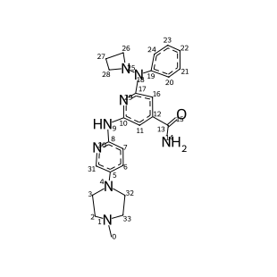 CN1CCN(c2ccc(Nc3cc(C(N)=O)cc(N(c4ccccc4)N4CCC4)n3)nc2)CC1